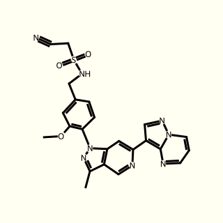 COc1cc(CNS(=O)(=O)CC#N)ccc1-n1nc(C)c2cnc(-c3cnn4cccnc34)cc21